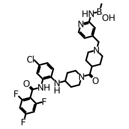 CB(O)Nc1cc(CN2CCC(C(=O)N3CCC(Nc4ccc(Cl)cc4NC(=O)c4c(F)cc(F)cc4F)CC3)CC2)ccn1